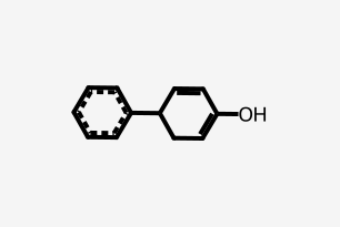 OC1=CCC(c2ccccc2)C=C1